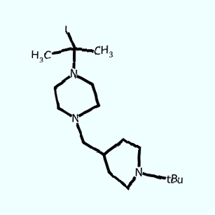 CC(C)(C)N1CCC(CN2CCN(C(C)(C)I)CC2)CC1